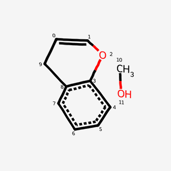 C1=COc2ccccc2C1.CO